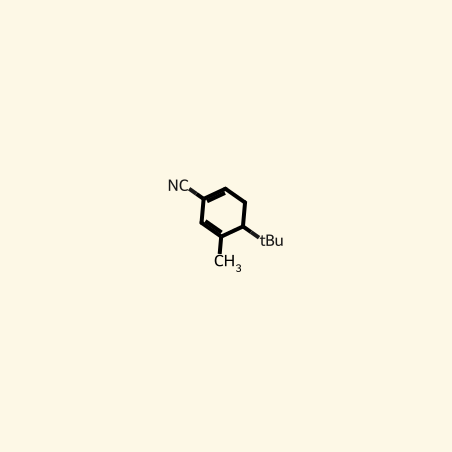 CC1=CC(C#N)=CCC1C(C)(C)C